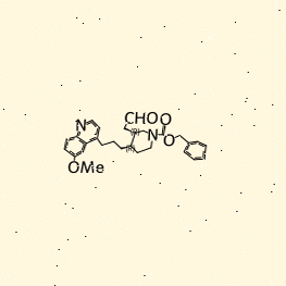 COc1ccc2nccc(CCC[C@@H]3CCN(C(=O)OCc4ccccc4)C[C@@H]3CC=O)c2c1